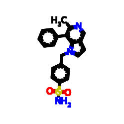 Cc1ncc2ccn(Cc3ccc(S(N)(=O)=O)cc3)c2c1-c1ccccc1